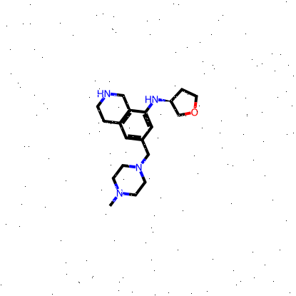 CN1CCN(Cc2cc3c(c(N[C@H]4CCOC4)c2)CNCC3)CC1